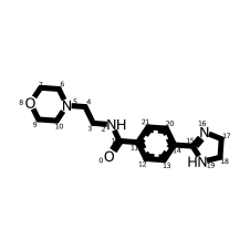 O=C(NCCN1CCOCC1)c1ccc(C2=NCCN2)cc1